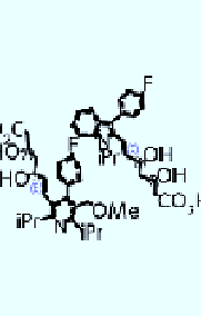 CC(C)n1c(/C=C/[C@@H](O)C[C@@H](O)CC(=O)O)c(-c2ccc(F)cc2)c2ccccc21.COCc1c(C(C)C)nc(C(C)C)c(/C=C/[C@@H](O)C[C@@H](O)CC(=O)O)c1-c1ccc(F)cc1